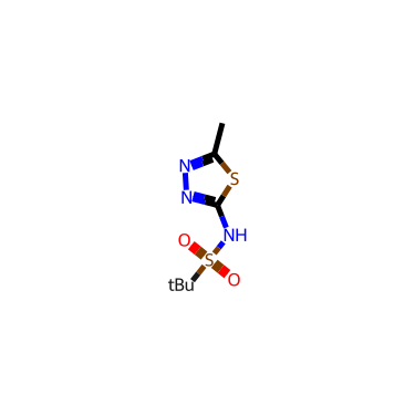 Cc1nnc(NS(=O)(=O)C(C)(C)C)s1